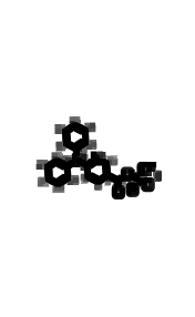 O=C(OS(=O)(=O)C(F)(F)F)c1ccc([S+](c2ccccc2)c2ccccc2)nc1